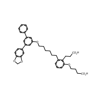 O=C(O)CCCOc1cccc(CCCCCCOc2cc(-c3ccccc3)cc(-c3ccc4c(c3)OCO4)c2)c1CCC(=O)O